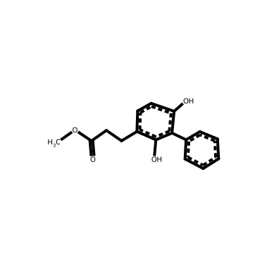 COC(=O)CCc1ccc(O)c(-c2ccccc2)c1O